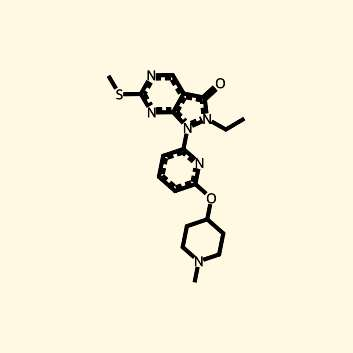 CCn1c(=O)c2cnc(SC)nc2n1-c1cccc(OC2CCN(C)CC2)n1